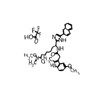 COc1ccc2[nH]c(C)c(CC(=O)N[C@@H](CCCCCC(=O)N(C)OC)c3ncc(-c4ccc5ccccc5c4)[nH]3)c2c1.O=C(O)C(F)(F)F